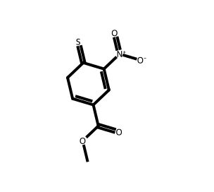 COC(=O)C1=CCC(=S)C([N+](=O)[O-])=C1